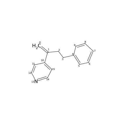 C=C(CCc1ccccc1)c1ccncc1